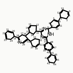 C1=CCC(C2=CCC(C3N=C(C4CC=CC(C5CC(C6C=CC=CC6)=NC=C5C5CC=CCC5)C4)N=C(c4ccc(C5=CCCC=C5)cc4)N3)C=C2)C=C1